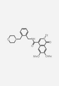 CCn1cc(C(=O)NCc2ccccc2CN2CCOCC2)c2cc(OC)c(OC)cc2c1=O